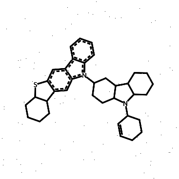 C1=CC(N2C3CCCCC3C3CC(n4c5ccccc5c5cc6c(cc54)C4CCCCC4S6)CCC32)CCC1